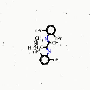 CCCc1cccc(CCC)c1N=C(C)C(C)=Nc1c(CCC)cccc1CCC.[CH3][Ni][CH3]